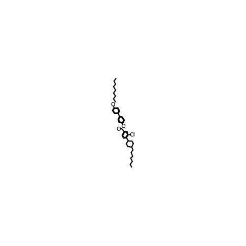 CCCCCCCCCOc1ccc(-c2ccc(OC(=O)c3ccc(C4CCC(CCCCCCC)CC4)c(Cl)c3)cc2)cc1